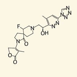 CC1=C(N2CCC3(CCN(C[C@H](O)c4nnc(-n5cnnn5)cc4C)CC3F)C2=O)COC1=O